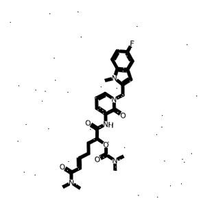 CN(C)C(=O)/C=C/CCC(OC(=O)N(C)C)C(=O)Nc1cccn(Cc2cc3cc(F)ccc3n2C)c1=O